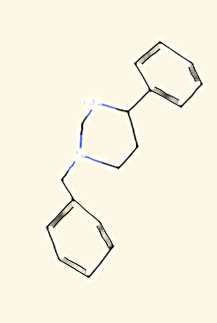 c1ccc(CN2CCC(c3ccccc3)NC2)cc1